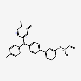 C=C/C=C(\C=C/CC)N(c1ccc(C)cc1)c1ccc(C2=CCCC(O[C@@H](O)C=C)=C2)cc1